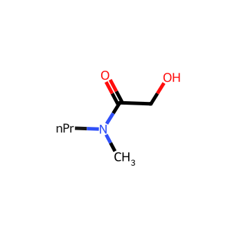 CCCN(C)C(=O)CO